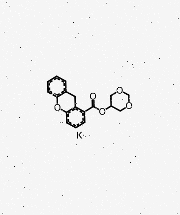 O=C(OC1COCOC1)c1cccc2c1Cc1ccccc1O2.[K]